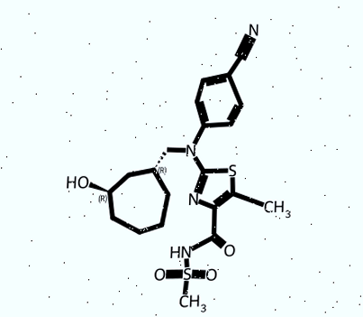 Cc1sc(N(C[C@@H]2CCCC[C@@H](O)C2)c2ccc(C#N)cc2)nc1C(=O)NS(C)(=O)=O